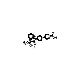 CC(C)N1C(=O)N(C2CCN(C3CCN(C(=O)O)CC3)CC2)[C@H]2CCCC[C@@H]21